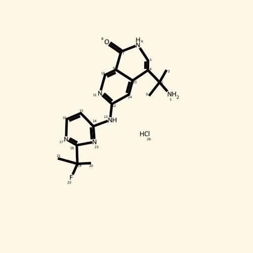 CC(C)(N)c1c[nH]c(=O)c2cnc(Nc3ccnc(C(C)(C)F)n3)cc12.Cl